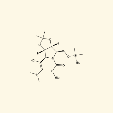 CN(C)C=C(C#N)[C@H]1[C@@H]2OC(C)(C)O[C@@H]2[C@@H](CO[Si](C)(C)C(C)(C)C)N1C(=O)OC(C)(C)C